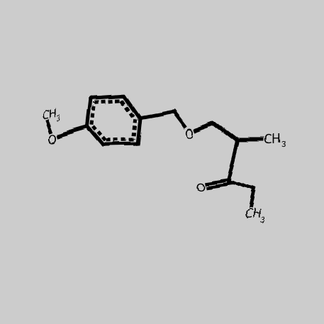 CCC(=O)C(C)COCc1ccc(OC)cc1